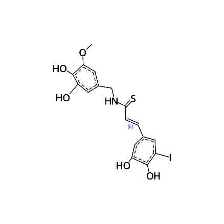 COc1cc(CNC(=S)/C=C/c2cc(O)c(O)c(I)c2)cc(O)c1O